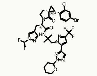 CC(C)(Cn1nc(C(F)(F)F)cc1-c1cnn(C2CCCCO2)n1)NC(=O)[C@@H](Cc1cnn(C(F)F)c1)N1CC[C@@]2(C[C@@H]2c2ccc(Br)cc2Cl)C1=O